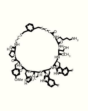 COc1ccc(C[C@@H]2NC(=O)[C@H](Cc3ncc[nH]3)NC(=O)[C@H](CC(=O)O)NC(=O)[C@H](Cc3c[nH]c4ccc(F)cc34)NC(=O)[C@H](Cc3c[nH]c4ccc(F)cc34)NC(=O)[C@@H]([C@@H](C)O)NC(=O)[C@H](CCCCN)NC(=O)CCSCc3cccc(c3)CSCCNC(=O)[C@]3(C)CCCN3C2=O)cc1